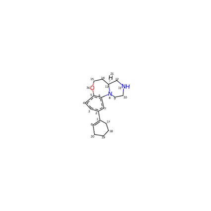 C1=C(c2ccc3c(c2)N2CCNC[C@@H]2CCO3)CCCC1